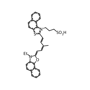 CCN1C(=CC=C(C)C=Cc2sc3ccc4ccccc4c3[n+]2CCCS(=O)(=O)O)Oc2c1ccc1ccccc21